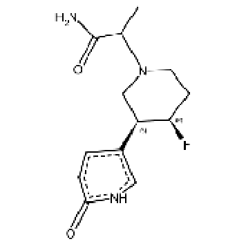 CC(C(N)=O)N1CC[C@@H](F)[C@@H](c2ccc(=O)[nH]c2)C1